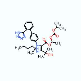 CCCCC1(C)NC(C(C)(C)O)=C(C(=O)OC(C)OC(=O)OC(C)C)N1c1ccc(-c2ccccc2-c2nnn[nH]2)cc1